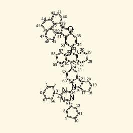 c1ccc(-c2nc(-c3ccccc3)nc(-n3c4ccccc4c4cc(-c5c6ccccc6c(-c6ccc7oc8c9cccc%10ccc%11cccc(c8c7c6)c%11c%109)c6ccccc56)ccc43)n2)cc1